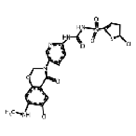 CNc1cc2c(cc1Cl)C(=O)N(c1ccc(NC(=O)NS(=O)(=O)C3=CCC(Cl)S3)nc1)CO2